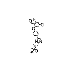 CN(Cc1ncc(-c2ccc(Oc3cc(Cl)cc(F)c3C=O)cc2)n1C)C(=O)OC(C)(C)C